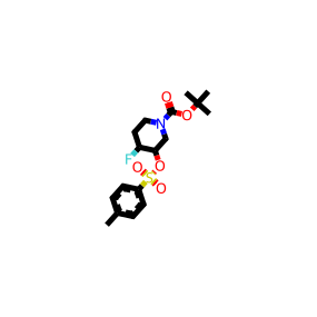 Cc1ccc(S(=O)(=O)OC2CN(C(=O)OC(C)(C)C)CCC2F)cc1